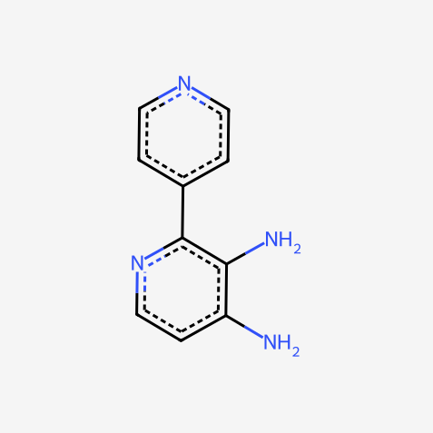 Nc1ccnc(-c2ccncc2)c1N